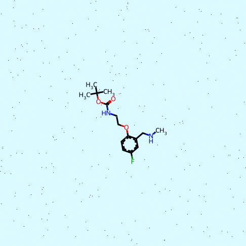 CNCc1cc(F)ccc1OCCNC(=O)OC(C)(C)C